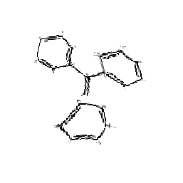 C=C(c1ccccc1)c1ccccc1.c1ccncc1